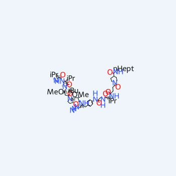 CCCCCCCNC(=O)C1CCN(C(=O)CCC(=O)N[C@H](C(=O)NCC(=O)Nc2ccc(C[C@@H](CN=[N+]=[N-])NC(=O)C(C)C(OC)[C@@H]3CCCN3C(=O)C[C@@H](OC)C([C@@H](C)CC)N(C)C(=O)[C@@H](NC(=O)[C@H](C(C)C)N(C)C)C(C)C)cc2)C(C)C)CC1